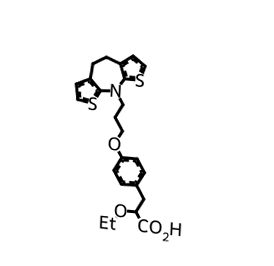 CCOC(Cc1ccc(OCCCN2c3sccc3CCc3ccsc32)cc1)C(=O)O